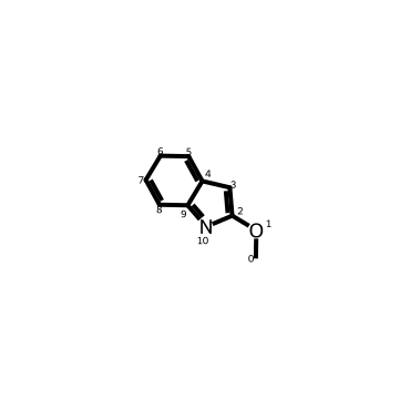 COC1=CC2=CCC=CC2=N1